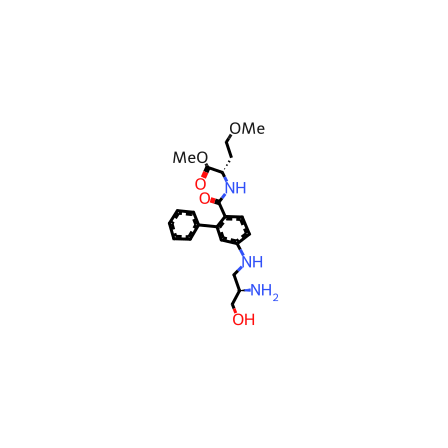 COCC[C@H](NC(=O)c1ccc(NC[C@@H](N)CO)cc1-c1ccccc1)C(=O)OC